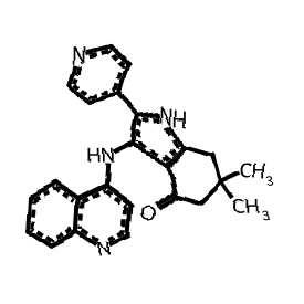 CC1(C)CC(=O)c2c([nH]c(-c3ccncc3)c2Nc2ccnc3ccccc23)C1